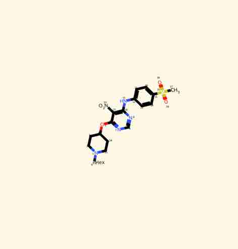 CCCCCCN1CCC(Oc2ncnc(Nc3ccc(S(C)(=O)=O)cc3)c2[N+](=O)[O-])CC1